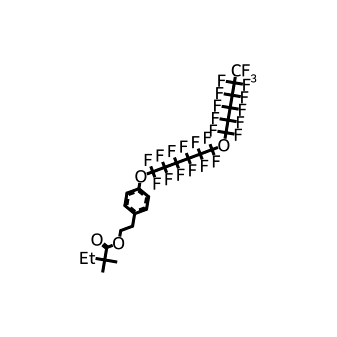 CCC(C)(C)C(=O)OCCc1ccc(OC(F)(F)C(F)(F)C(F)(F)C(F)(F)C(F)(F)C(F)(F)OC(F)(F)C(F)(F)C(F)(F)C(F)(F)C(F)(F)C(F)(F)F)cc1